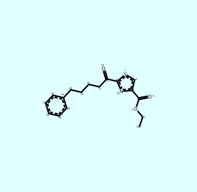 CCOC(=O)c1csc(C(=O)CCCCc2ccccc2)n1